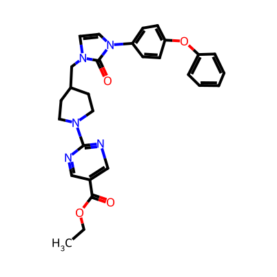 CCOC(=O)c1cnc(N2CCC(Cn3ccn(-c4ccc(Oc5ccccc5)cc4)c3=O)CC2)nc1